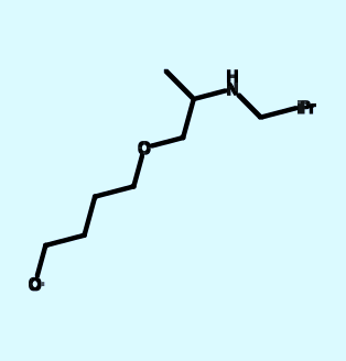 CC(C)CNC(C)COCCCC[O]